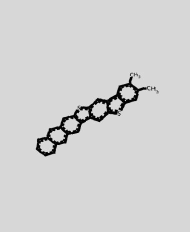 Cc1cc2sc3cc4c(cc3c2cc1C)sc1cc2cc3ccccc3cc2cc14